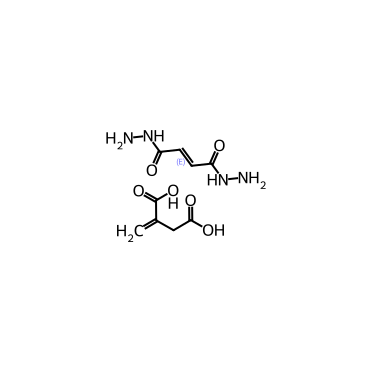 C=C(CC(=O)O)C(=O)O.NNC(=O)/C=C/C(=O)NN